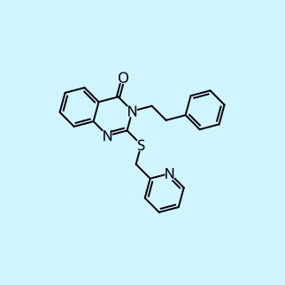 O=c1c2ccccc2nc(SCc2ccccn2)n1CCc1ccccc1